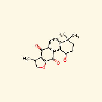 CC1COC2=C1C(=O)c1ccc3c(c1C2=O)C(=O)CCC3(C)C